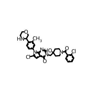 Cc1cc(-n2c(Cl)cc3c(=O)n(CC4(O)CCN(C(=O)c5ccccc5Cl)CC4)cnc32)ccc1C1COCCN1